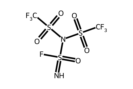 N=S(=O)(F)N(S(=O)(=O)C(F)(F)F)S(=O)(=O)C(F)(F)F